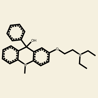 CCN(CC)CCOc1ccc2c(c1)C(O)(c1ccccc1)c1ccccc1N2C